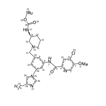 COc1cnc(C(=O)Nc2cc(CN3CCC[C@H](NC(=O)OC(C)(C)C)C3)cc(-n3cnc(C)c3)c2)cc1Cl